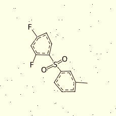 Cc1cccc(S(=O)(=O)c2ccc(F)cc2F)c1